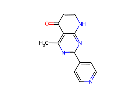 Cc1nc(-c2ccncc2)nc2[nH]ccc(=O)c12